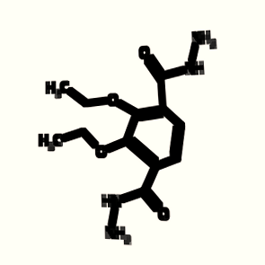 CCOc1c(C(=O)NN)ccc(C(=O)NN)c1OCC